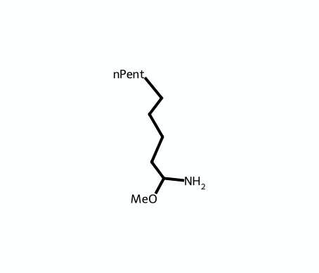 CCCCCCCCCC(N)OC